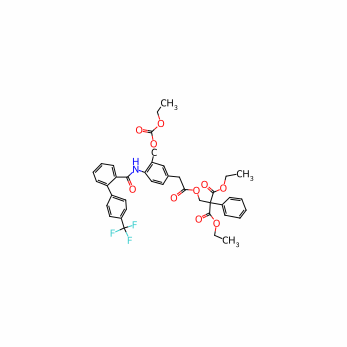 CCOC(=O)OCc1cc(CC(=O)OCC(C(=O)OCC)(C(=O)OCC)c2ccccc2)ccc1NC(=O)c1ccccc1-c1ccc(C(F)(F)F)cc1